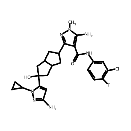 Cn1nc(C2CC3CC(O)(c4cc(N)nn4C4CC4)CC3C2)c(C(=O)Nc2ccc(F)c(Cl)c2)c1N